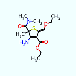 CCOC=C1SC(C)(C(=O)N(C)C)C(N)=C1C(=O)OCC